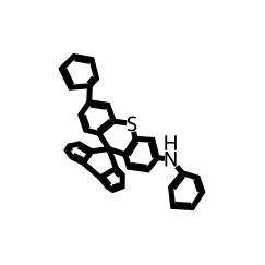 c1ccc(Nc2ccc3c(c2)Sc2cc(-c4ccccc4)ccc2C32c3ccccc3-c3ccccc32)cc1